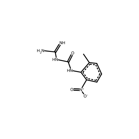 Cc1cccc([N+](=O)[O-])c1NC(=O)NC(=N)N